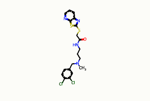 CN(CCCNC(=O)CSc1nc2cccnc2s1)Cc1ccc(Cl)c(Cl)c1